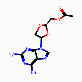 CC(=O)OC[C@@H]1OCC(n2cnc3c(N)nc(N)nc32)O1